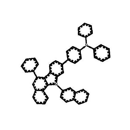 c1ccc(-c2cc3ccccc3c3c2c2ccc(-c4ccc(N(c5ccccc5)c5ccccc5)cc4)cc2n3-c2ccc3ccccc3c2)cc1